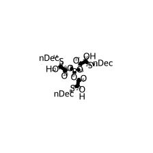 CCCCCCCCCCSC(O)C(=O)OP(OC(=O)C(O)SCCCCCCCCCC)OC(=O)C(O)SCCCCCCCCCC